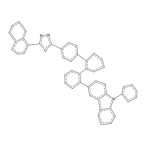 c1ccc(-n2c3ccccc3c3cc(-c4ccccc4-c4ccccc4-c4ccc(-c5nnc(-c6cccc7ccccc67)o5)cc4)ccc32)cc1